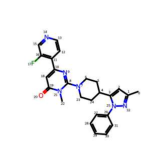 Cc1cc(C2CCN(c3nc(-c4ccncc4F)cc(=O)n3C)CC2)n(-c2ccccc2)n1